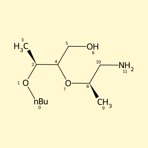 CCCCO[C@@H](C)C(CO)O[C@H](C)CN